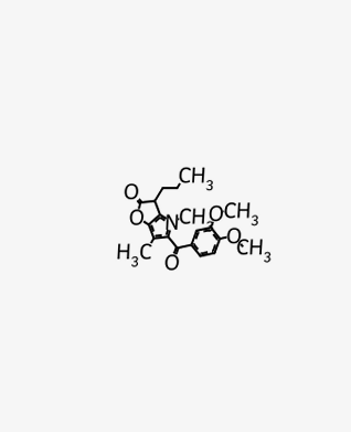 CCCC1C(=O)Oc2c(C)c(C(=O)c3ccc(OC)c(OC)c3)n(C)c21